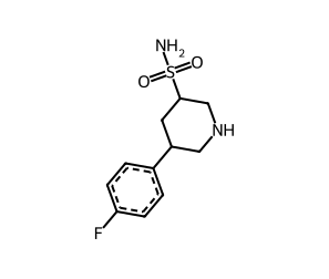 NS(=O)(=O)C1CNCC(c2ccc(F)cc2)C1